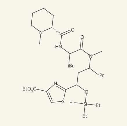 CCOC(=O)c1csc(C(CC(C(C)C)N(C)C(=O)C(NC(=O)[C@H]2CCCCN2C)C(C)CC)O[Si](CC)(CC)CC)n1